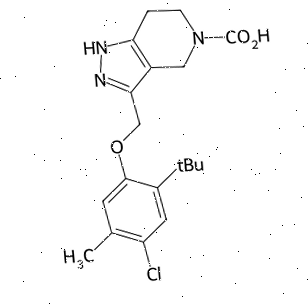 Cc1cc(OCc2n[nH]c3c2CN(C(=O)O)CC3)c(C(C)(C)C)cc1Cl